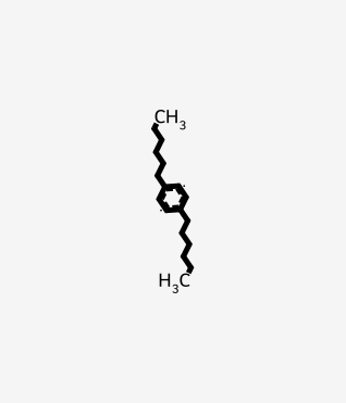 CCCCCCc1[c]cc(CCCCCC)[c]c1